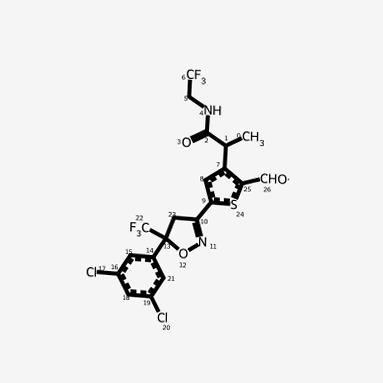 CC(C(=O)NCC(F)(F)F)c1cc(C2=NOC(c3cc(Cl)cc(Cl)c3)(C(F)(F)F)C2)sc1[C]=O